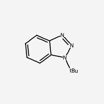 CC(C)(C)n1nnc2ccccc21